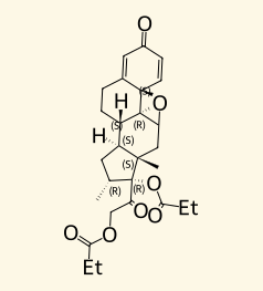 CCC(=O)OCC(=O)[C@@]1(OC(=O)CC)[C@H](C)C[C@H]2[C@@H]3CCC4=CC(=O)C=C[C@]4(C)[C@]34OC4C[C@@]21C